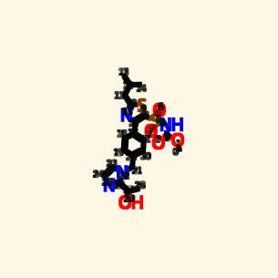 COC(=O)NS(=O)(=O)c1sc(CC(C)C)nc1-c1ccc(Cn2ccnc2C(C)O)cc1